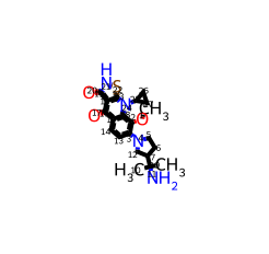 COc1c(N2CCC(C(C)(C)N)C2)ccc2c(=O)c3c(=O)[nH]sc3n(C3CC3)c12